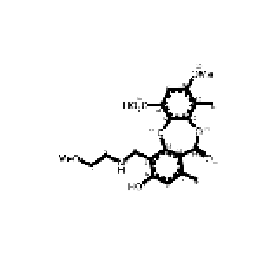 COCCNCc1c(O)cc(C)c2c1Oc1c(C(=O)O)cc(OC)c(C)c1OC2=O